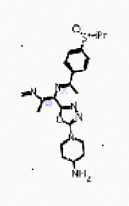 C=N/C(C)=C(\N=C(/C)c1ccc([S+]([O-])C(C)C)cc1)c1nnc(N2CCC(N)CC2)o1